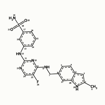 Cc1cc2ccc(CNc3nc(Nc4cccc(S(N)(=O)=O)c4)ncc3F)cc2[nH]1